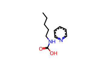 CCCCCNC(=O)O.c1ccncc1